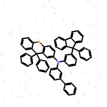 c1ccc(-c2cccc(N(c3cccc(C4(c5ccccc5)c5ccccc5-c5ccccc54)c3)c3ccc4c(c3)C(c3ccccc3)(c3ccccc3)c3ccccc3S4)c2)cc1